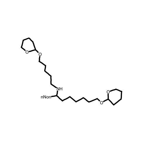 CCCCCCCCCC(CCCCCCOC1CCCCO1)NCCCCCOC1CCCCO1